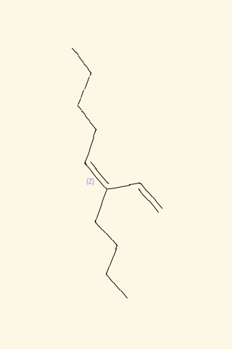 C=C/C(=C\CCCC)CCCC